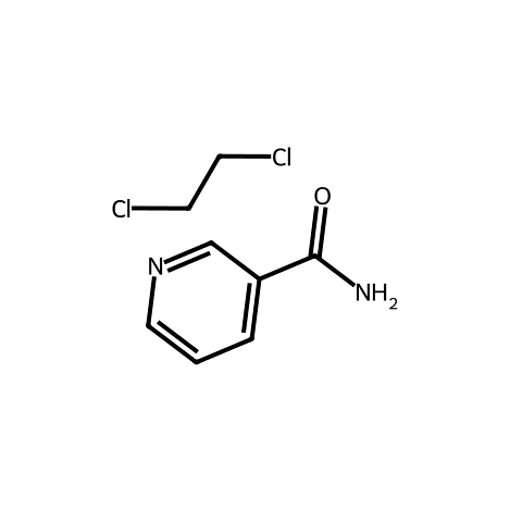 ClCCCl.NC(=O)c1cccnc1